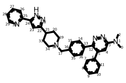 CN(C)c1cc(-c2ccccc2)c(-c2ccc(CN3CCC(c4cc(-c5ccccn5)[nH]n4)CC3)cc2)nn1